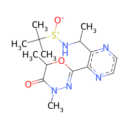 CC1OC(c2nccnc2C(C)N[S+]([O-])C(C)(C)C)=NN(C)C1=O